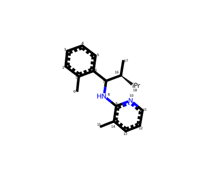 Cc1ccccc1C(Nc1ncccc1C)[C@@H](C)C(C)C